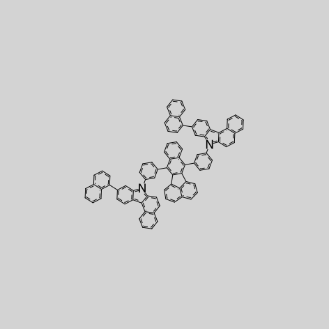 c1cc(-c2c3c(c(-c4cccc(-n5c6cc(-c7cccc8ccccc78)ccc6c6c7ccccc7ccc65)c4)c4ccccc24)-c2cccc4cccc-3c24)cc(-n2c3cc(-c4cccc5ccccc45)ccc3c3c4ccccc4ccc32)c1